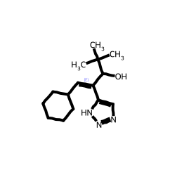 CC(C)(C)C(O)/C(=C/C1CCCCC1)c1cnn[nH]1